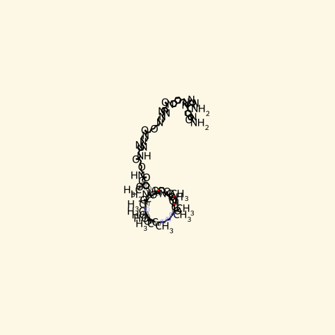 CO[C@H]1C[C@@H]2CC[C@@H](C)[C@@](O)(O2)C(=O)C(=O)N2CCCC[C@H]2C(=O)O[C@H]([C@H](N)C[C@@H]2CC[C@@H](OC(=O)NCCOCCC(=O)NCc3cnc(N4CCN(C(=O)CCOCCN5CCN(c6ncc(C(=O)N7CCc8cc(Cn9nc(-c%10ccc%11oc(N)nc%11c%10)c%10c(N)ncnc%109)ccc8C7)cn6)CC5)CC4)nc3)[C@H](OC)C2)CC(=O)[C@H](C)/C=C(\C)[C@@H](O)[C@@H](O)C(=O)[C@H](C)C[C@H](C)/C=C/C=C/C=C/1C